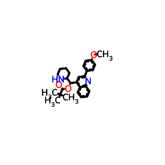 COc1ccc(-c2cc(C(OC(=O)C(C)(C)C)C3CCCCN3)c3ccccc3n2)cc1